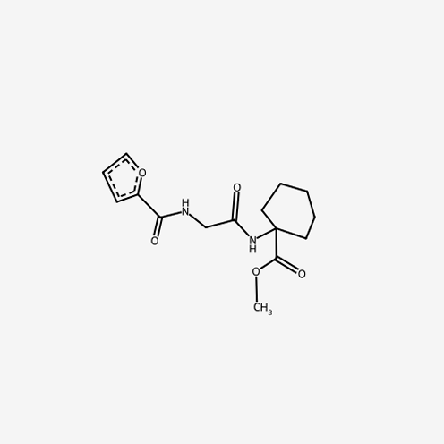 COC(=O)C1(NC(=O)CNC(=O)c2ccco2)CCCCC1